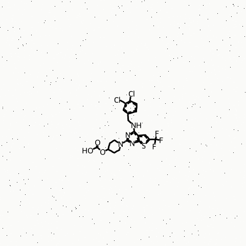 O=C(O)OC1CCN(c2nc(NCc3ccc(Cl)c(Cl)c3)c3cc(C(F)(F)F)sc3n2)CC1